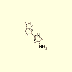 Nc1cnc(-c2ncc(N)s2)s1